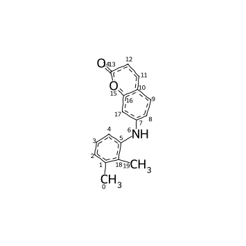 Cc1cccc(Nc2ccc3ccc(=O)oc3c2)c1C